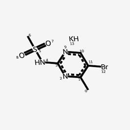 Cc1nc(NS(C)(=O)=O)ncc1Br.[KH]